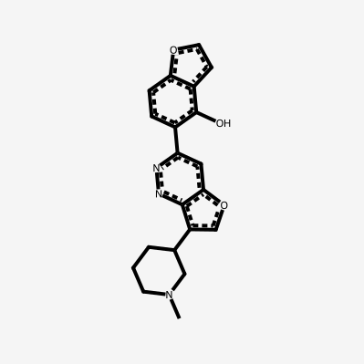 CN1CCCC(c2coc3cc(-c4ccc5occc5c4O)nnc23)C1